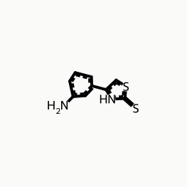 Nc1cccc(-c2csc(=S)[nH]2)c1